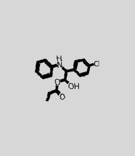 CCC(=O)OC(O)C(Nc1ccccc1)c1ccc(Cl)cc1